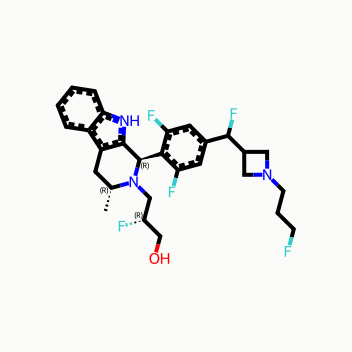 C[C@@H]1Cc2c([nH]c3ccccc23)[C@@H](c2c(F)cc(C(F)C3CN(CCCF)C3)cc2F)N1C[C@@H](F)CO